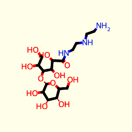 NCCNCCNC(=O)C(O)C(O)C(O[C@@H]1OC(CO)[C@H](O)[C@H](O)C1O)C(O)CO